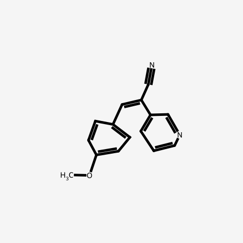 COc1ccc(/C=C(/C#N)c2cccnc2)cc1